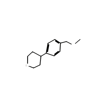 COCc1ccc(C2CCNCC2)cc1